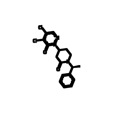 C[C@@H](c1ccccc1)N1CCC(n2ncc(Cl)c(Cl)c2=O)CC1=O